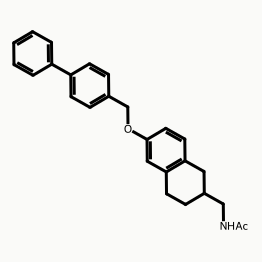 CC(=O)NCC1CCc2cc(OCc3ccc(-c4ccccc4)cc3)ccc2C1